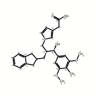 COc1cc([C@H](O)[C@@H](CC2Cc3ccccc3C2)Cn2ccc(CC(=O)O)c2)cc(OC)c1C